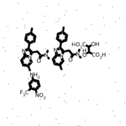 Cc1ccc(-c2nc3ccc(C)cn3c2CC(=O)N(C)C)cc1.Cc1ccc(-c2nc3ccc(C)cn3c2CC(=O)N(C)C)cc1.Nc1ccc([N+](=O)[O-])c(C(F)(F)F)c1.O=C(O)C(O)C(O)C(=O)O